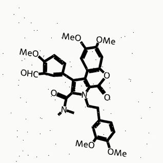 COc1ccc(-c2c(C(=O)N(C)C)n(CCc3ccc(OC)c(OC)c3)c3c(=O)oc4cc(OC)c(OC)cc4c23)cc1C=O